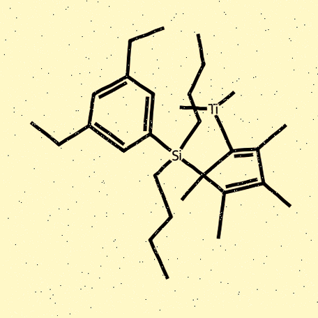 CCCC[Si](CCCC)(c1cc(CC)cc(CC)c1)C1(C)C(C)=C(C)C(C)=[C]1[Ti]([CH3])[CH3]